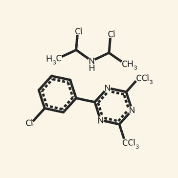 CC(Cl)NC(C)Cl.Clc1cccc(-c2nc(C(Cl)(Cl)Cl)nc(C(Cl)(Cl)Cl)n2)c1